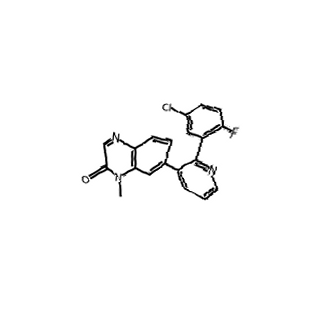 Cn1c(=O)cnc2ccc(-c3cccnc3-c3cc(Cl)ccc3F)cc21